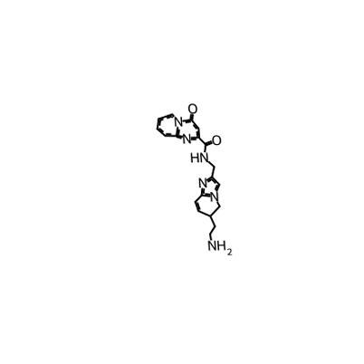 NCCC1C=Cc2nc(CNC(=O)c3cc(=O)n4ccccc4n3)cn2C1